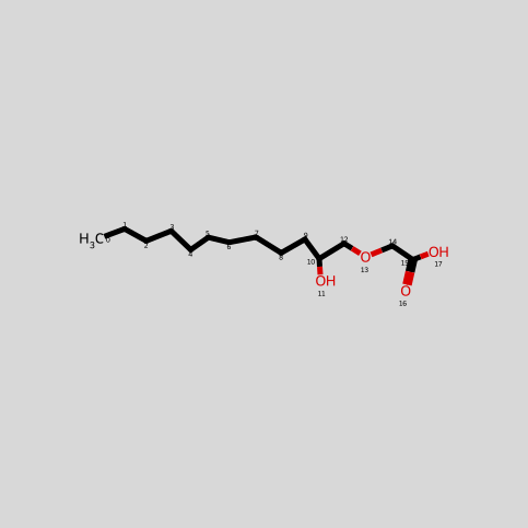 CCCCCCCCCCC(O)COCC(=O)O